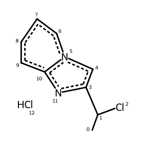 CC(Cl)c1cn2ccccc2n1.Cl